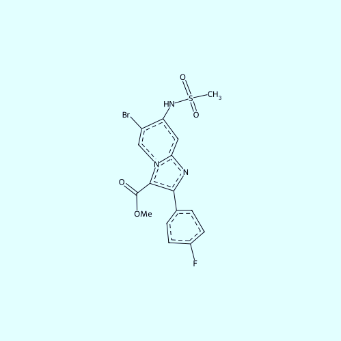 COC(=O)c1c(-c2ccc(F)cc2)nc2cc(NS(C)(=O)=O)c(Br)cn12